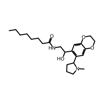 CCCCCCCC(=O)NCC(O)c1cc2c(cc1C1CCCN1C)OCCO2